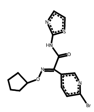 O=C(Nc1nccs1)/C(=N/OC1CCCC1)c1ccc(Br)nc1